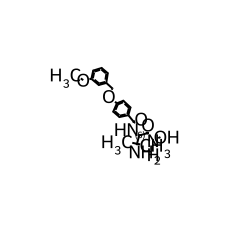 COc1cccc(COc2ccc(C(=O)N[C@H](C(=O)NO)C(C)(C)N)cc2)c1